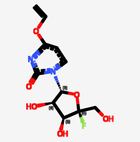 C=COc1ccn([C@@H]2O[C@](F)(CO)[C@@H](O)[C@H]2O)c(=O)n1